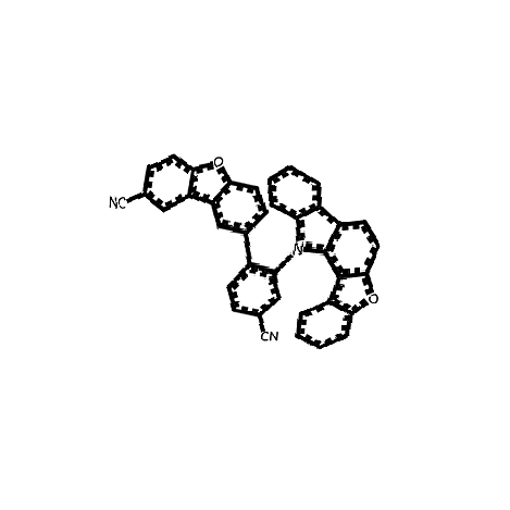 N#Cc1ccc(-c2ccc3oc4ccc(C#N)cc4c3c2)c(-n2c3ccccc3c3ccc4oc5ccccc5c4c32)c1